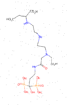 O=C(O)CC(NCCNCCN(CC(=O)O)CC(=O)NCCC(O)(P(=O)(O)O)P(=O)(O)O)C(=O)O